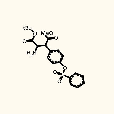 COC(=O)C(c1ccc(OS(=O)(=O)c2ccccc2)cc1)C(N)C(=O)OC(C)(C)C